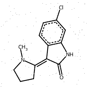 CN1CCC/C1=C1\C(=O)Nc2cc(Cl)ccc21